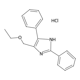 CCOCc1nc(-c2ccccc2)[nH]c1-c1ccccc1.Cl